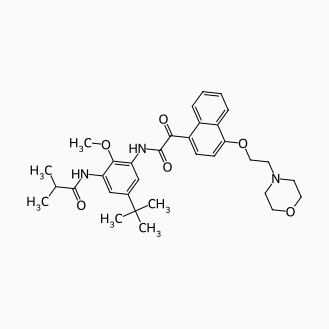 COc1c(NC(=O)C(=O)c2ccc(OCCN3CCOCC3)c3ccccc23)cc(C(C)(C)C)cc1NC(=O)C(C)C